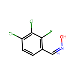 O/N=C\c1ccc(Cl)c(Cl)c1F